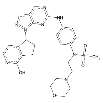 CS(=O)(=O)N(CCN1CCOCC1)c1ccc(Nc2ncc3cnn(C4CCc5c4ccnc5O)c3n2)cc1